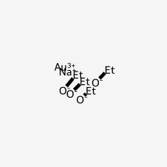 CC[O-].CC[O-].CC[O-].CC[O-].[Au+3].[Na+]